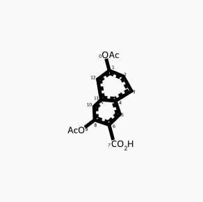 CC(=O)Oc1ccc2cc(C(=O)O)c(OC(C)=O)cc2c1